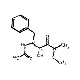 CON(C)C(=O)[C@H](O)[C@H](Cc1ccccc1)NC(=O)O